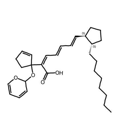 CCCCCCCC[C@H]1CCC[C@@H]1C=CC=CC=C(C(=O)O)C1(OC2C=CC=CO2)C=CCC1